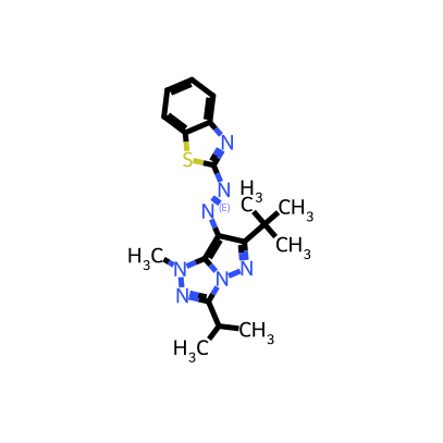 CC(C)c1nn(C)c2c(/N=N/c3nc4ccccc4s3)c(C(C)(C)C)nn12